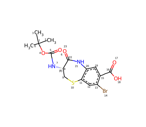 CC(C)(C)OC(=O)N[C@H]1CSc2cc(Br)c(C(=O)O)cc2NC1=O